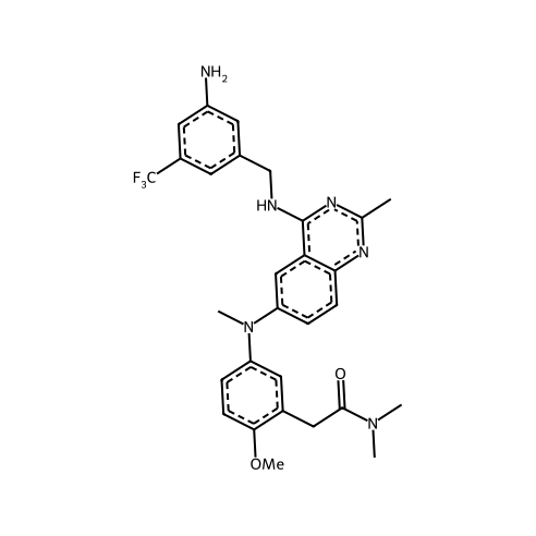 COc1ccc(N(C)c2ccc3nc(C)nc(NCc4cc(N)cc(C(F)(F)F)c4)c3c2)cc1CC(=O)N(C)C